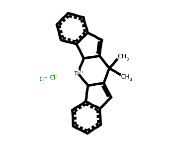 CC1(C)C2=Cc3ccccc3[CH]2[Ti+2][CH]2C1=Cc1ccccc12.[Cl-].[Cl-]